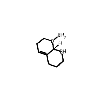 BB1CCC=C2CCCB[C@@H]12